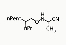 CCCCCC(CCC)CONC(C)C#N